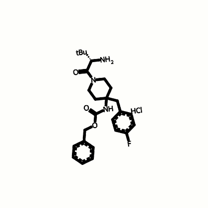 CC(C)(C)[C@H](N)C(=O)N1CCC(Cc2ccc(F)cc2)(NC(=O)OCc2ccccc2)CC1.Cl